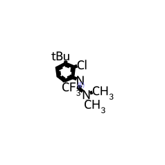 CN(C)/C=N/c1c(C(F)(F)F)ccc(C(C)(C)C)c1Cl